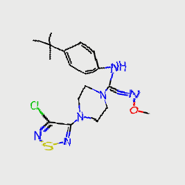 CO/N=C(/Nc1ccc(C(C)(C)C)cc1)N1CCN(c2nsnc2Cl)CC1